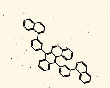 c1cc(-c2cccc3ccccc23)cc(-c2c3ccccc3c(-c3cccc(-c4cccc5ccccc45)c3)c3c2cnc2ccccc23)c1